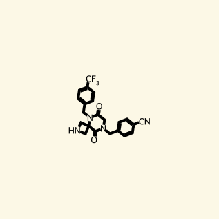 N#Cc1ccc(CN2CC(=O)N(Cc3ccc(C(F)(F)F)cc3)C3(CNC3)C2=O)cc1